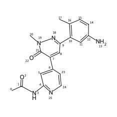 CC(=O)Nc1cc(-c2cc(-c3cc(N)ccc3C)nn(C)c2=O)ccn1